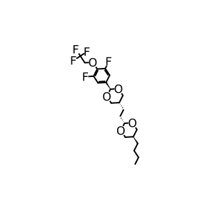 CCCC[C@H]1CO[C@H](CC[C@H]2CO[C@H](c3cc(F)c(OCC(F)(F)F)c(F)c3)OC2)OC1